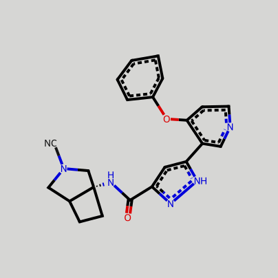 N#CN1CC2CC[C@]2(NC(=O)c2cc(-c3cnccc3Oc3ccccc3)[nH]n2)C1